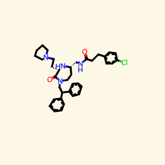 O=C(CCc1ccc(Cl)cc1)NC[C@@H]1CCN(CC(c2ccccc2)c2ccccc2)C(=O)[C@H](CCN2CCCCC2)N1